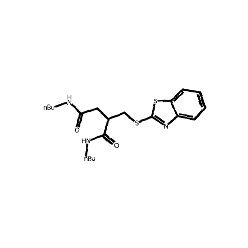 CCCCNC(=O)CC(CSc1nc2ccccc2s1)C(=O)NCCCC